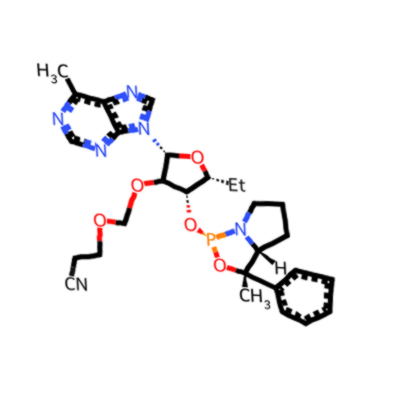 CC[C@H]1O[C@@H](n2cnc3c(C)ncnc32)C(OCOCCC#N)[C@H]1O[P@]1O[C@@](C)(c2ccccc2)[C@H]2CCCN21